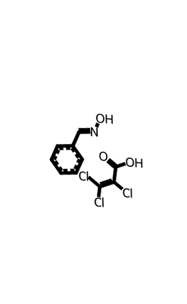 O/N=C/c1ccccc1.O=C(O)C(Cl)=C(Cl)Cl